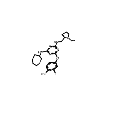 CCN1CCCC1CNc1nc(NC2CCCCCC2)nc(Oc2ccc(O)c(F)c2)n1